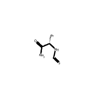 CC(C)[C@H](NC=S)C(N)=O